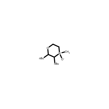 CCCCC1OCC[N+](C)([O-])C1CCCC